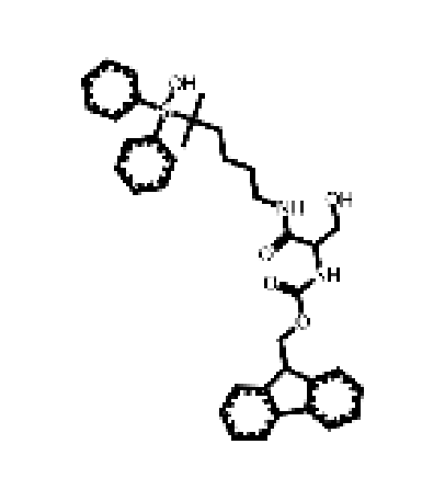 CC(C)(CCCCNC(=O)C(CO)NC(=O)OCC1c2ccccc2-c2ccccc21)[Si](O)(c1ccccc1)c1ccccc1